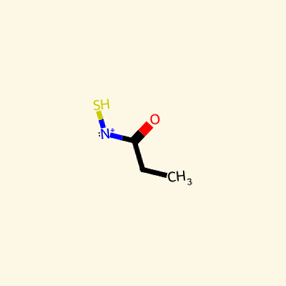 CCC(=O)[N+]S